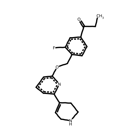 CCC(=O)c1ccc(COc2cccc(C3=CCNCC3)n2)c(F)c1